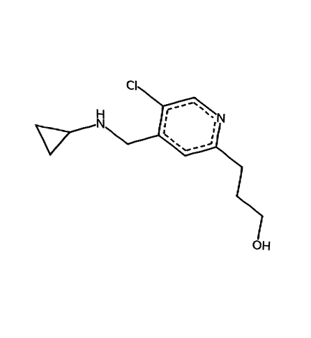 OCCCc1cc(CNC2CC2)c(Cl)cn1